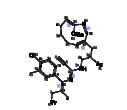 C#C/C(=N\C(=C(/C)CC(C)C)c1ccc(Cl)c(C)c1)NCC(CC1=C/CCC/C=C(OC)/N=C\1)C(C)=O